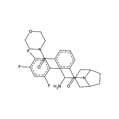 NC(Cc1cc(F)c(F)cc1F)C1CC2CCC(C1)N2C(=O)c1cccc(C(=O)N2CCOCC2)c1